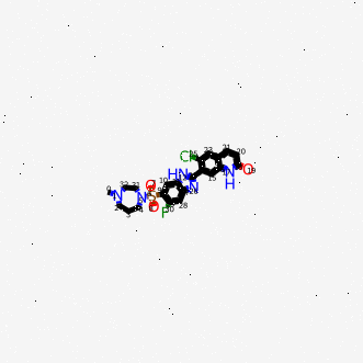 CN1CCCN(S(=O)(=O)c2cc3[nH]c(-c4cc5[nH]c(=O)ccc5cc4Cl)nc3cc2F)CC1